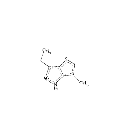 CCc1n[nH]c2c(C)csc12